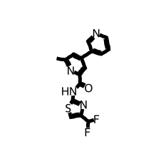 Cc1cc(-c2cccnc2)cc(C(=O)Nc2nc(C(F)F)cs2)n1